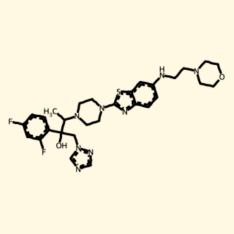 CC(N1CCN(c2nc3ccc(NCCN4CCOCC4)cc3s2)CC1)C(O)(Cn1cncn1)c1ccc(F)cc1F